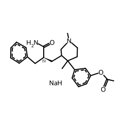 CC(=O)Oc1cccc(C2(C)CCN(C)CC2C[C@@H](Cc2ccccc2)C(N)=O)c1.[NaH]